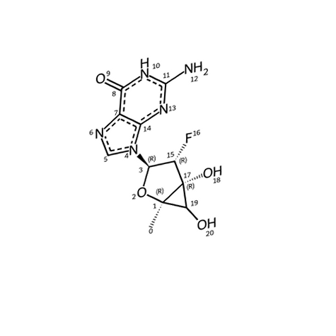 C[C@]12O[C@@H](n3cnc4c(=O)[nH]c(N)nc43)[C@H](F)[C@@]1(O)C2O